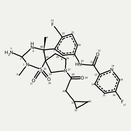 CN1C(N)N[C@](C)(c2cc(NC(=O)c3ccc(F)cn3)ccc2F)C2(CCN(C(=O)CC3CC3)C2)S1(=O)=O